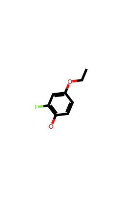 CCOc1ccc([O])c(F)c1